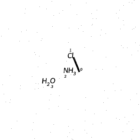 CCl.N.O